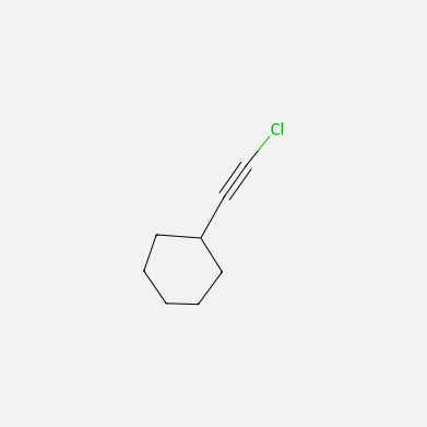 ClC#CC1CCCCC1